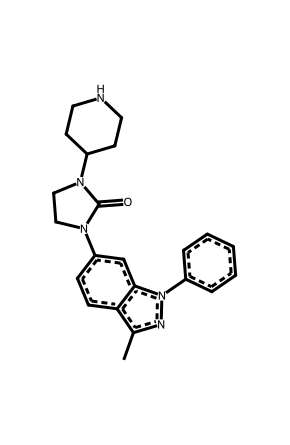 Cc1nn(-c2ccccc2)c2cc(N3CCN(C4CCNCC4)C3=O)ccc12